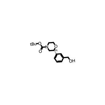 CC(C)(C)OC(=O)N1CCO[C@H](c2cccc(CO)c2)C1